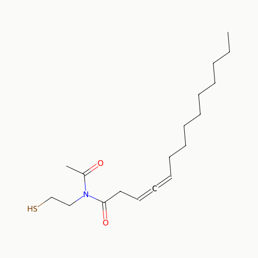 CCCCCCCCCC=C=CCC(=O)N(CCS)C(C)=O